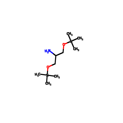 C[Si](C)(C)OCC(N)CO[Si](C)(C)C